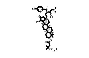 CC(C)C1=C2[C@H]3CCC4[C@@]5(C)CC[C@H](OC(=O)CC(C)(C)C(=O)O)C(C)(C)[C@@H]5CC[C@@]4(C)[C@]3(C)CC[C@@]2([C@@H](O)CN(C(=O)CN(C)C)[C@@H](C)c2ccc(Cl)cn2)CC1=O